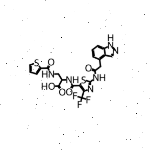 O=C(Cc1cccc2[nH]ncc12)Nc1nc(C(F)(F)F)c(C(=O)NC(CNC(=O)c2cccs2)C(=O)O)s1